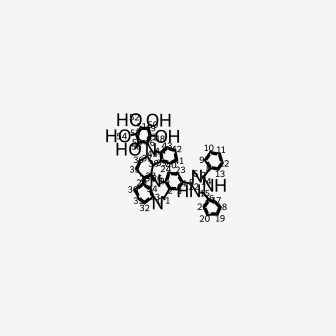 N#Cc1cc(C2N=C(c3ccccc3)NC(c3ccccc3)N2)ccc1-n1c2c(c3ccccc31)C=CC1C2c2ccccc2N1c1c(O)c(O)c(O)c(O)c1O